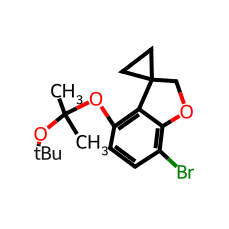 CC(C)(C)OC(C)(C)Oc1ccc(Br)c2c1C1(CC1)CO2